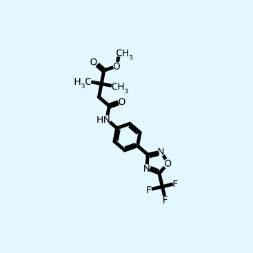 COC(=O)C(C)(C)CC(=O)Nc1ccc(-c2noc(C(F)(F)F)n2)cc1